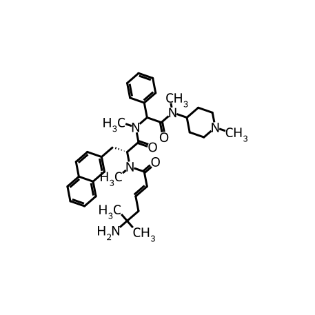 CN1CCC(N(C)C(=O)C(c2ccccc2)N(C)C(=O)[C@@H](Cc2ccc3ccccc3c2)N(C)C(=O)/C=C/CC(C)(C)N)CC1